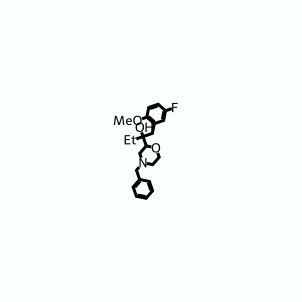 CCC(O)(Cc1cc(F)ccc1OC)C1CN(Cc2ccccc2)CCO1